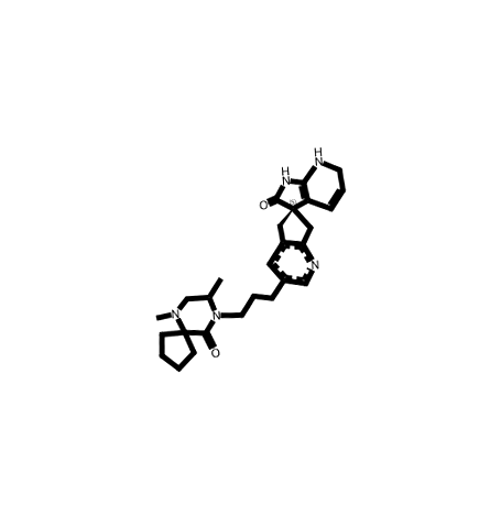 CC1CN(C)C2(CCCC2)C(=O)N1CCCc1cnc2c(c1)C[C@@]1(C2)C(=O)NC2=C1C=CCN2